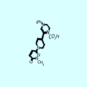 CC(C)N1CCN(C(=O)O)C(C2CCN(c3ccc(=O)n(C)n3)CC2)C1